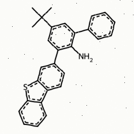 CC(C)(C)c1cc(-c2ccccc2)c(N)c(-c2ccc3c(c2)sc2ccccc23)c1